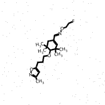 Cc1cc(CCCOC2C(C)(C)C=C(C=NOCCF)CC2(C)C)on1